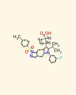 [2H]C([2H])(C(=O)O)C([2H])([2H])c1c(C(C)C)n(-c2cccc(F)c2)c2cc3cnn(S(=O)(=O)c4ccc(C)cc4)c3cc12